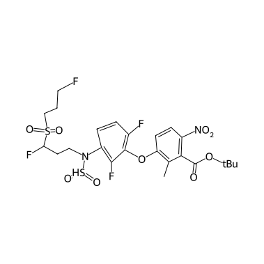 Cc1c(Oc2c(F)ccc(N(CCC(F)S(=O)(=O)CCCF)[SH](=O)=O)c2F)ccc([N+](=O)[O-])c1C(=O)OC(C)(C)C